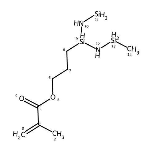 C=C(C)C(=O)OCCC[SiH](N[SiH3])N[SiH2]C